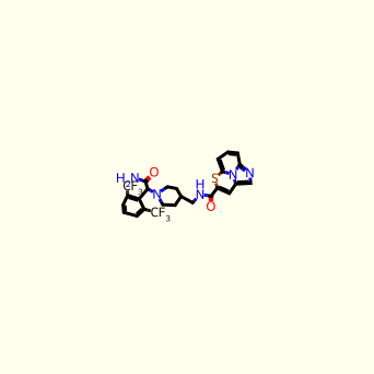 NC(=O)C(c1c(C(F)(F)F)cccc1C(F)(F)F)N1CCC(CNC(=O)C2=Cc3cnc4cccc(n34)S2)CC1